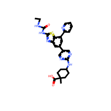 CCNC(=O)Nc1nc2cc(-c3cnc(NC4CCC(C)(C(=O)O)CC4)nc3)cc(-c3ccccn3)c2s1